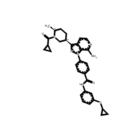 C[C@H]1CC[C@@H](c2nn(-c3ccc(C(=O)Nc4cccc(OC5CC5)c4)cc3)c3c(N)nccc23)CN1C(=O)C1CC1